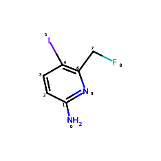 Nc1ccc(I)c(CF)n1